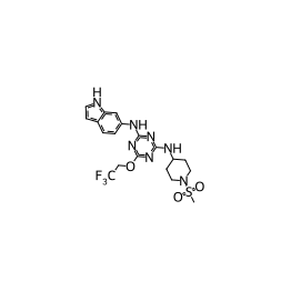 CS(=O)(=O)N1CCC(Nc2nc(Nc3ccc4cc[nH]c4c3)nc(OCC(F)(F)F)n2)CC1